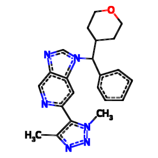 Cc1nnn(C)c1-c1cc2c(cn1)ncn2C(c1ccccc1)C1CCOCC1